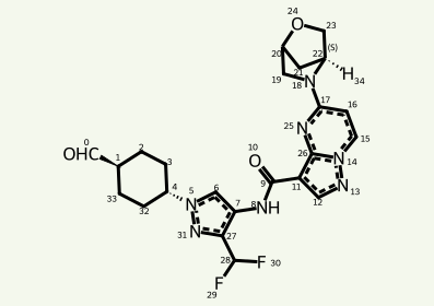 O=C[C@H]1CC[C@H](n2cc(NC(=O)c3cnn4ccc(N5CC6C[C@H]5CO6)nc34)c(C(F)F)n2)CC1